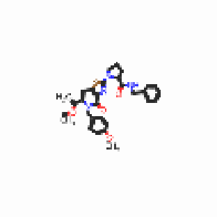 C=C(OCC)c1cc2sc(N3CCCC3C(=O)NCc3ccccc3)nc2c(=O)n1Cc1ccc(OC)cc1